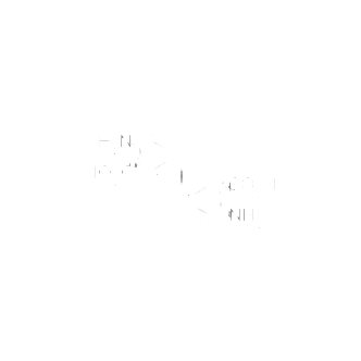 Nc1ccc(C=Cc2ccc(N)c(C(=O)O)c2)cc1C(=O)O